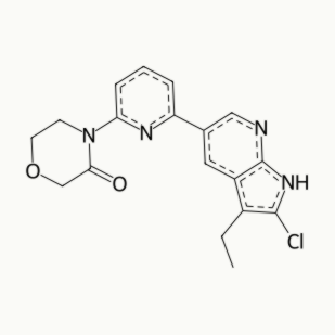 CCc1c(Cl)[nH]c2ncc(-c3cccc(N4CCOCC4=O)n3)cc12